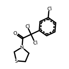 O=C(N1CCSC1)C(Cl)(Cl)c1cccc(Cl)c1